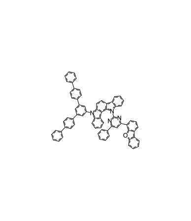 c1ccc(-c2ccc(-c3cc(-c4ccc(-c5ccccc5)cc4)cc(-n4c5ccccc5c5c4ccc4c6ccccc6n(-c6nc(-c7ccccc7)cc(-c7cccc8c7oc7ccccc78)n6)c45)c3)cc2)cc1